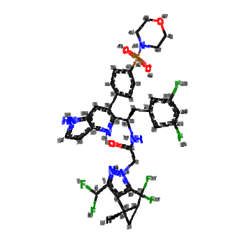 O=C(Cn1nc(C(F)F)c2c1C(F)(F)C1C[C@H]21)N[C@H](Cc1cc(F)cc(F)c1)c1nc2cc[nH]c2cc1-c1ccc(S(=O)(=O)N2CCOCC2)cc1